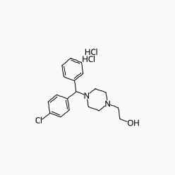 Cl.Cl.OCCN1CCN(C(c2ccccc2)c2ccc(Cl)cc2)CC1